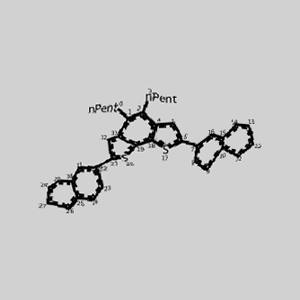 CCCCCc1c(CCCCC)c2cc(-c3ccc4ccccc4c3)sc2c2sc(-c3ccc4ccccc4c3)cc12